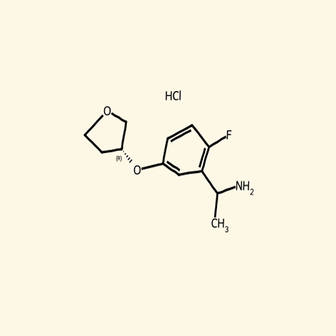 CC(N)c1cc(O[C@@H]2CCOC2)ccc1F.Cl